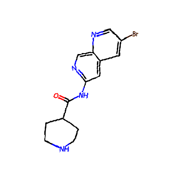 O=C(Nc1cc2cc(Br)cnc2cn1)C1CCNCC1